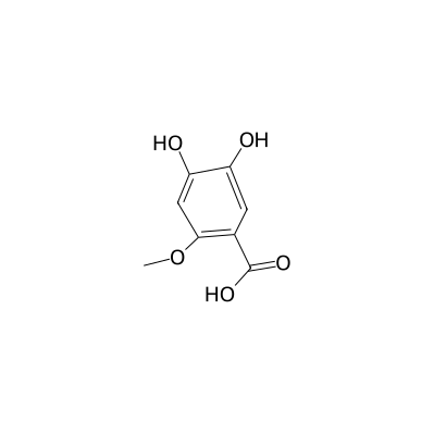 COc1cc(O)c(O)cc1C(=O)O